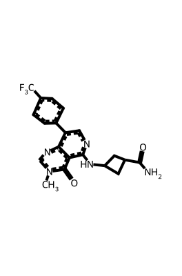 Cn1cnc2c(-c3ccc(C(F)(F)F)cc3)cnc(NC3CC(C(N)=O)C3)c2c1=O